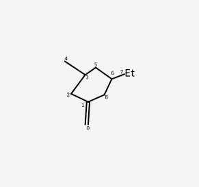 C=C1CC(C)CC(CC)C1